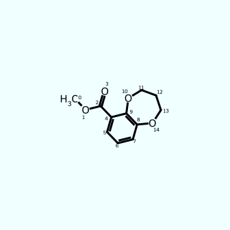 COC(=O)c1cccc2c1OCCCO2